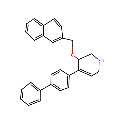 C1=C(c2ccc(-c3ccccc3)cc2)C(OCc2ccc3ccccc3c2)CNC1